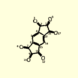 O=c1c(=O)c2cc3c(=O)c(=O)c(=O)c3cc2c1=O